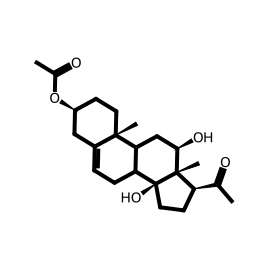 CC(=O)O[C@H]1CC[C@@]2(C)C(=CCC3C2C[C@@H](O)[C@]2(C)[C@@H](C(C)=O)CC[C@]32O)C1